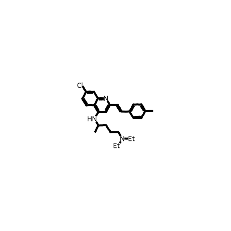 CCN(CC)CCCC(C)Nc1cc(/C=C/c2ccc(C)cc2)nc2cc(Cl)ccc12